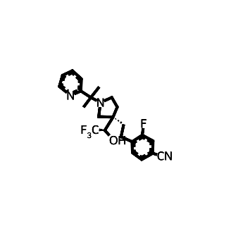 CC(C)(c1ccccn1)N1CC[C@@](CCc2ccc(C#N)cc2F)([C@@H](O)C(F)(F)F)C1